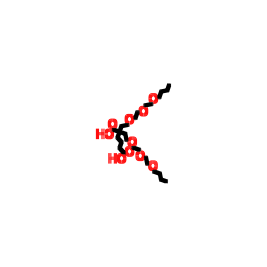 CCCCOCCOCCOCCC(CCCC(=O)O)(CCOCCOCCOCCCC)C(=O)O